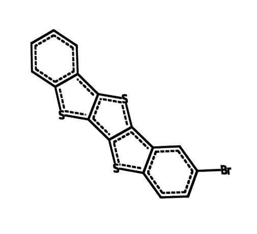 Brc1ccc2sc3c(sc4c5ccccc5sc43)c2c1